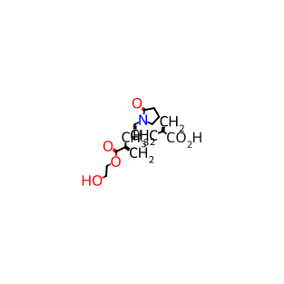 C=C(C)C(=O)O.C=C(C)C(=O)OCCO.C=CN1CCCC1=O